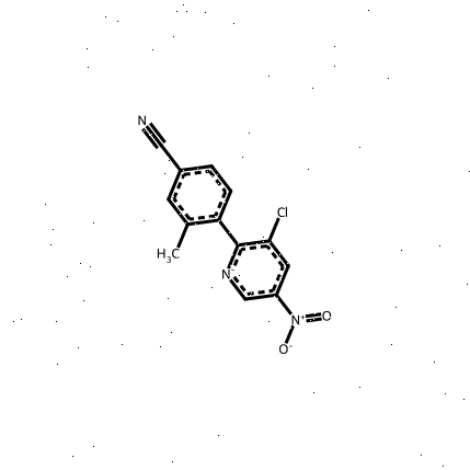 Cc1cc(C#N)ccc1-c1ncc([N+](=O)[O-])cc1Cl